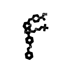 CB(O)N1CCN(Cc2ccc3nc(-c4ccc(OCc5ccccc5)cc4)n(COCC[Si](C)(C)C)c3n2)CC1